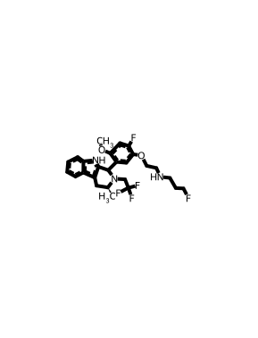 COc1cc(F)c(OCCNCCCF)cc1C1c2[nH]c3ccccc3c2C[C@@H](C)N1CC(F)(F)F